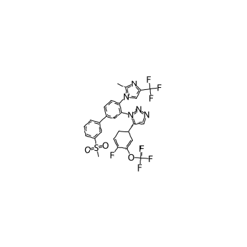 Cc1nc(C(F)(F)F)cn1-c1ccc(-c2cccc(S(C)(=O)=O)c2)cc1-n1nncc1C1C=C(OC(F)(F)F)C(F)=CC1